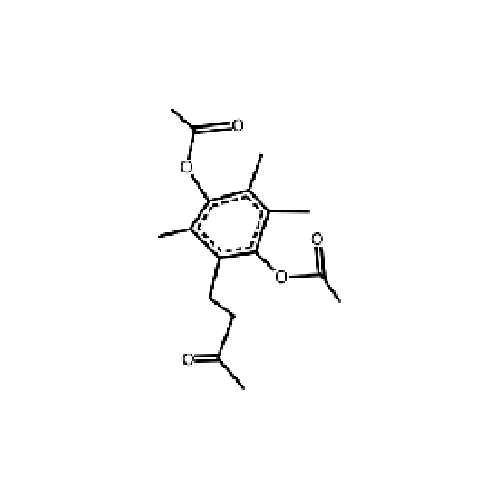 CC(=O)CCc1c(C)c(OC(C)=O)c(C)c(C)c1OC(C)=O